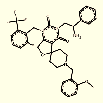 COc1ccccc1CN1CCC2(CC1)OCc1c2c(=O)n(CC(N)c2ccccc2)c(=O)n1Cc1c(F)cccc1C(F)(F)F